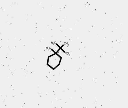 CC(C)([N+](=O)[O-])C1([N+](=O)[O-])CCCCC1